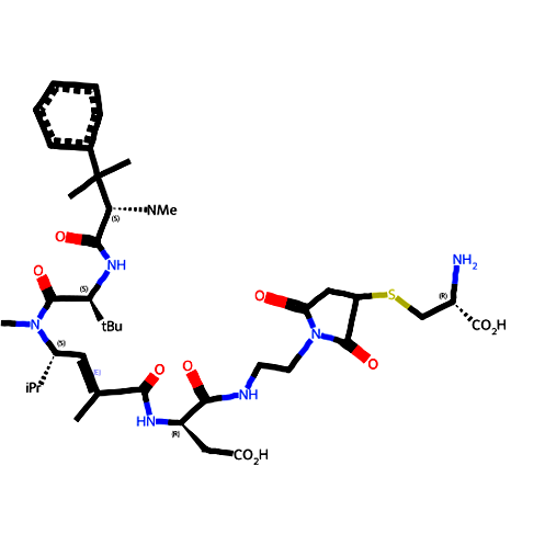 CN[C@H](C(=O)N[C@H](C(=O)N(C)[C@H](/C=C(\C)C(=O)N[C@H](CC(=O)O)C(=O)NCCN1C(=O)CC(SC[C@H](N)C(=O)O)C1=O)C(C)C)C(C)(C)C)C(C)(C)c1ccccc1